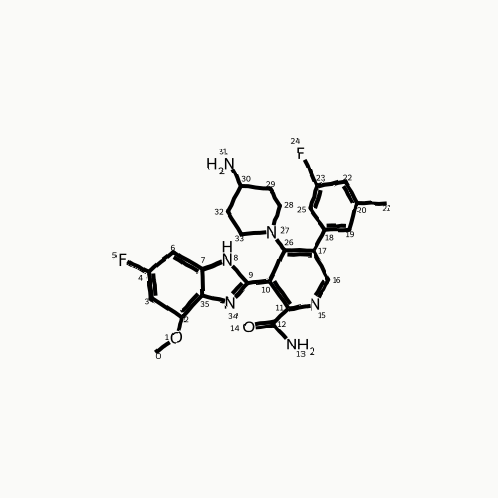 COc1cc(F)cc2[nH]c(-c3c(C(N)=O)ncc(-c4cc(C)cc(F)c4)c3N3CCC(N)CC3)nc12